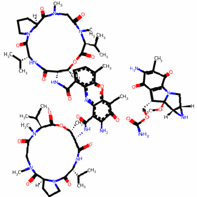 CO[C@@]12[C@H](COC(N)=O)C3=C(C(=O)C(C)=C(N)C3=O)N1C[C@@H]1N[C@@H]12.Cc1c2oc3c(C)ccc(C(=O)N[C@@H]4C(=O)N[C@H](C(C)C)C(=O)N5CCC[C@H]5C(=O)N(C)CC(=O)N(C)[C@@H](C(C)C)C(=O)O[C@@H]4C)c3nc-2c(C(=O)N[C@@H]2C(=O)N[C@H](C(C)C)C(=O)N3CCC[C@H]3C(=O)N(C)CC(=O)N(C)[C@@H](C(C)C)C(=O)O[C@@H]2C)c(N)c1=O